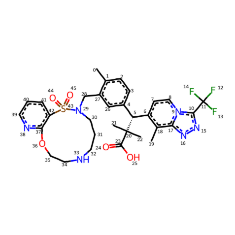 Cc1ccc([C@H](c2ccn3c(C(F)(F)F)nnc3c2C)C(C)(C)C(=O)O)cc1CN1CCCNCCOc2ncccc2S1(=O)=O